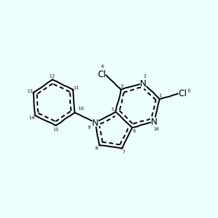 Clc1nc(Cl)c2c(ccn2-c2ccccc2)n1